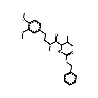 COc1ccc(CCN(C)C(=O)C(NC(=O)OCc2ccccc2)C(C)C)cc1OC